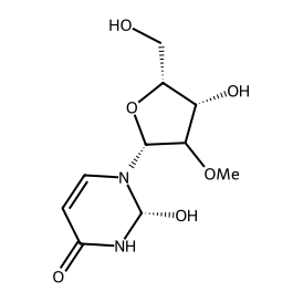 COC1[C@@H](O)[C@@H](CO)O[C@H]1N1C=CC(=O)N[C@H]1O